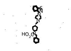 O=C(O)N(Cc1ccccc1)[C@H]1CC[C@@H](CCN2CCN(c3nsc4ccccc34)CC2)CC1